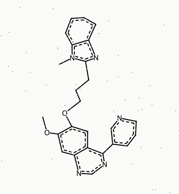 COc1cc2ncnc(-c3cccnc3)c2cc1OCCCc1nc2ccccc2n1C